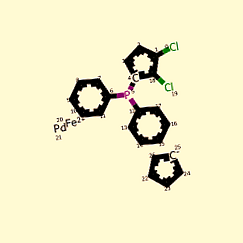 Clc1cc[c-](P(c2ccccc2)c2ccccc2)c1Cl.[Fe+2].[Pd].c1cc[cH-]c1